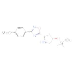 COc1ccc(-c2noc([C@@H]3C[C@@H](O[Si](C)(C)C(C)(C)C)CN3)n2)cc1